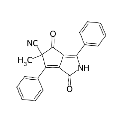 CC1(C#N)C(=O)C2=C(c3ccccc3)NC(=O)C2=C1c1ccccc1